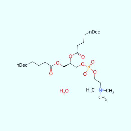 CCCCCCCCCCCCCC(=O)OC[C@H](COP(=O)([O-])OCC[N+](C)(C)C)OC(=O)CCCCCCCCCCCCC.O